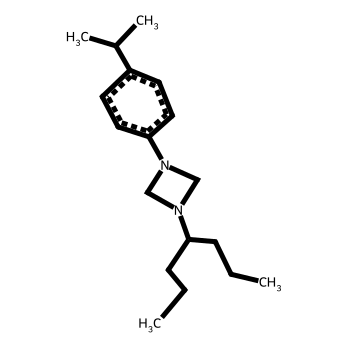 CCCC(CCC)N1CN(c2ccc(C(C)C)cc2)C1